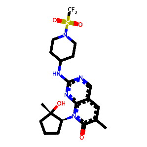 Cc1cc2cnc(NC3CCN(S(=O)(=O)C(F)(F)F)CC3)nc2n([C@H]2CCC[C@]2(C)O)c1=O